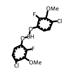 COc1c(Cl)ccc(OBOc2ccc(Cl)c(OC)c2F)c1F